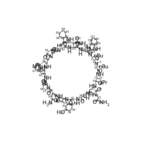 CCCC[C@H]1C(=O)N(C)[C@@H](CCCC)C(=O)N[C@@H](CC(C)C)C(=O)N[C@H](C(=O)NCC(N)=O)CNCC(=O)N[C@@H](Cc2ccc(O)cc2)C(=O)N(C)[C@@H](C)C(=O)N[C@@H](CC(N)=O)C(=O)N2CCC[C@H]2C(=O)N[C@@H](Cc2cnc[nH]2)C(=O)N[C@@H](CC(C)C)C(=O)N2CCC[C@H]2C(=O)N[C@@H](Cc2c[nH]c3ccccc23)C(=O)N[C@@H](CC(N)=O)C(=O)N[C@@H](Cc2c[nH]c3ccccc23)C(=O)N1C